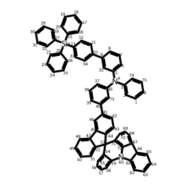 c1ccc(N(c2cccc(-c3ccc([Si](c4ccccc4)(c4ccccc4)c4ccccc4)cc3)c2)c2cccc(-c3ccc4c(c3)-c3ccccc3C43c4ccccc4-n4c5ccccc5c5cccc3c54)c2)cc1